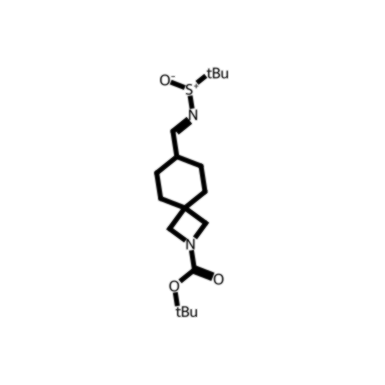 CC(C)(C)OC(=O)N1CC2(CCC(/C=N/[S+]([O-])C(C)(C)C)CC2)C1